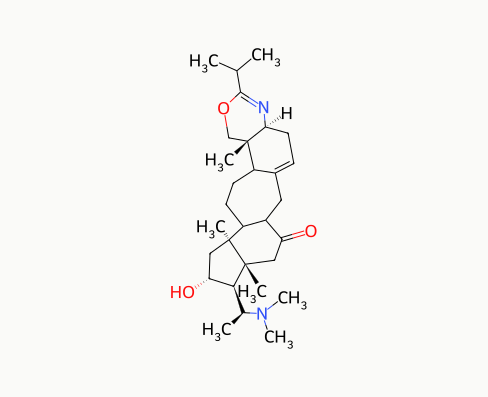 CC(C)C1=N[C@H]2CC=C3CC4C(=O)C[C@]5(C)[C@@H]([C@H](C)N(C)C)[C@H](O)C[C@@]5(C)C4CCC3[C@]2(C)CO1